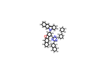 c1ccc(-c2cccc(-c3nc(-c4ccc5ccccc5c4)nc(-c4cc(-n5c6ccccc6c6cc7ccccc7cc65)cc5oc6cc7ccccc7cc6c45)n3)c2)cc1